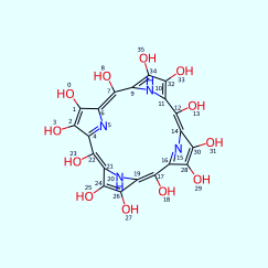 OC1=C(O)c2nc1c(O)c1[nH]c(c(O)c3nc(c(O)c4[nH]c(c2O)c(O)c4O)C(O)=C3O)c(O)c1O